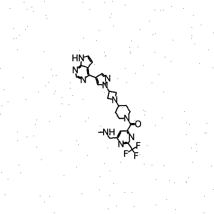 CNCc1cc(C(=O)N2CCC(N3CC(n4cc(-c5ncnc6[nH]ccc56)cn4)C3)CC2)nc(C(F)(F)F)n1